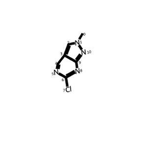 Cn1cc2cnc(Cl)nc2n1